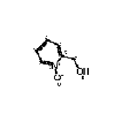 [O-][n+]1ccccc1CO